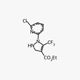 CCOC(=O)C1=C(C(F)(F)F)N(c2cccc(Cl)n2)NC1